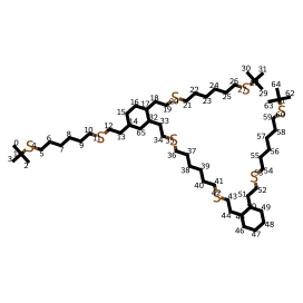 CC(C)(C)SCCCCCCSCCC1CCC(CCSCCCCCCSC(C)(C)C)C(CCSCCCCCCSCCC2CCCCC2CCSCCCCCCSC(C)(C)C)C1